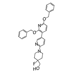 OCC1(F)CCN(c2ccc(-c3ccc(OCc4ccccc4)nc3OCc3ccccc3)cn2)CC1